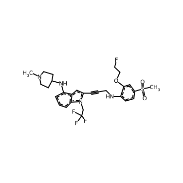 CN1CCC(Nc2cccc3c2cc(C#CCNc2ccc(S(C)(=O)=O)cc2OCCF)n3CC(F)(F)F)CC1